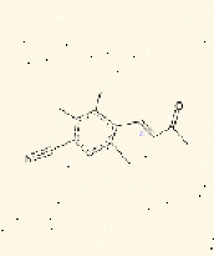 CC(=O)/C=C/c1c(C)cc(C#N)c(C)c1C